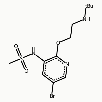 CC(C)(C)NCCOc1ncc(Br)cc1NS(C)(=O)=O